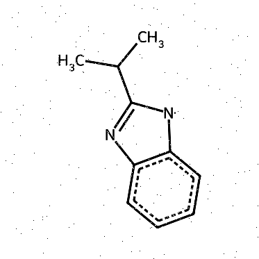 CC(C)C1=Nc2ccccc2[N]1